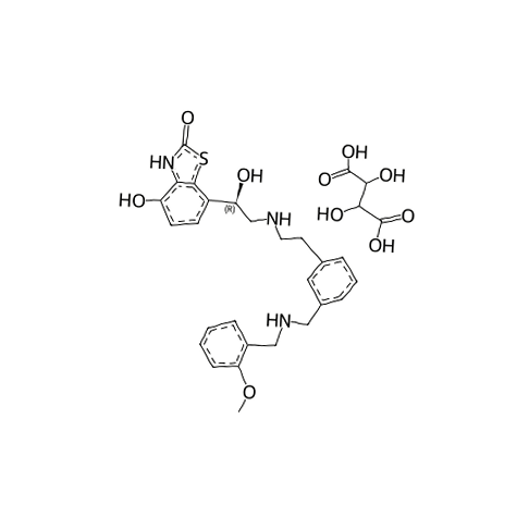 COc1ccccc1CNCc1cccc(CCNC[C@H](O)c2ccc(O)c3[nH]c(=O)sc23)c1.O=C(O)C(O)C(O)C(=O)O